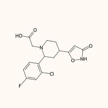 O=C(O)CN1CCC(c2cc(=O)[nH]o2)CC1c1ccc(F)cc1Cl